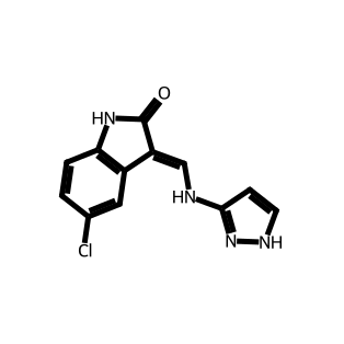 O=C1Nc2ccc(Cl)cc2/C1=C\Nc1cc[nH]n1